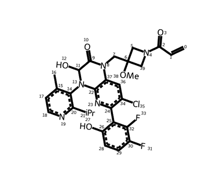 C=CC(=O)N1CC(CN2C(=O)C(O)N(c3c(C)ccnc3C(C)C)c3nc(-c4c(O)ccc(F)c4F)c(Cl)cc32)(OC)C1